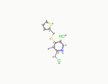 Cc1c(SCc2cccs2)ccnc1CCl.Cl